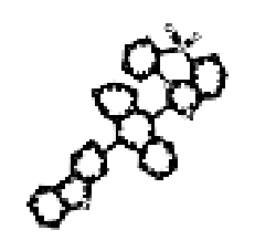 O=S1(=O)c2ccccc2-n2c(-c3c4ccccc4c(-c4ccc5c(c4)sc4ccccc45)c4ccccc34)nc3cccc1c32